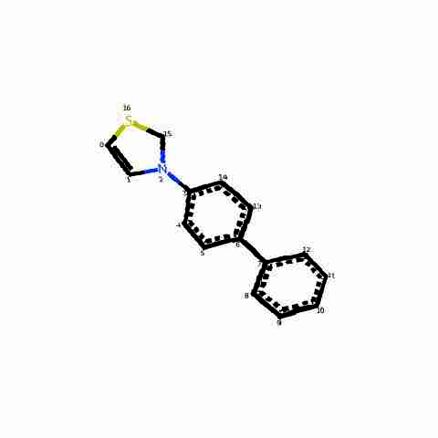 C1=CN(c2ccc(-c3ccccc3)cc2)CS1